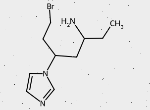 CCC(N)CC(CCBr)n1ccnc1